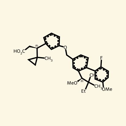 CCC(C)(C)[C@@H](OC)c1cc(COc2cccc([C@H](CC(=O)O)C3(C)CC3)c2)ccc1-c1cc(OC)ccc1F